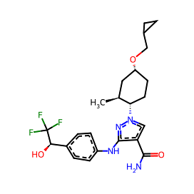 C[C@H]1C[C@H](OCC2CC2)CC[C@@H]1n1cc(C(N)=O)c(Nc2ccc([C@@H](O)C(F)(F)F)cc2)n1